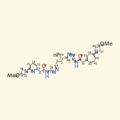 CCC[C@@H](CCc1nnc(NC(=O)Cc2cccc(N3CC(OC)C3)n2)s1)c1nnc(NC(=O)CC2=CCC(N3CC(OC)C3)=CC=C2)s1